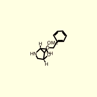 CO[C@@H]1O[C@@H]2CN[C@H]1[C@H]2OCc1ccccc1